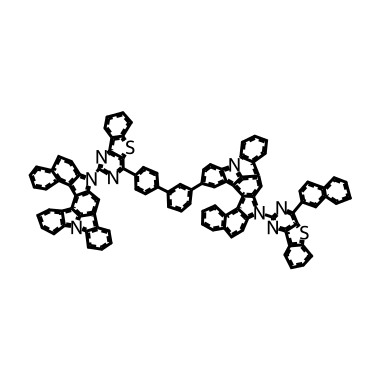 c1cc(-c2ccc(-c3nc(-n4c5ccc6ccccc6c5c5c6c7ccccc7n7c8ccccc8c(cc54)c67)nc4c3sc3ccccc34)cc2)cc(-c2ccc3c(c2)c2c4c5c6ccccc6ccc5n(-c5nc(-c6ccc7ccccc7c6)c6sc7ccccc7c6n5)c4cc4c5ccccc5n3c42)c1